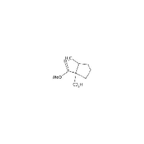 COC(=O)C1(C(=O)O)CCCC1C